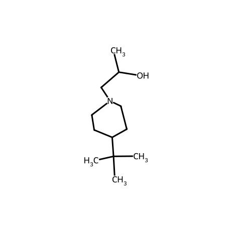 CC(O)CN1CCC(C(C)(C)C)CC1